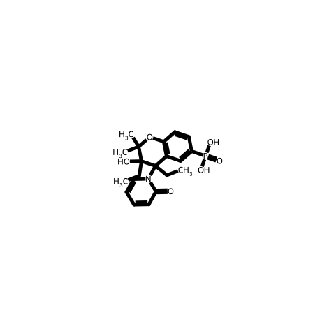 CCC1(n2ccccc2=O)c2cc(P(=O)(O)O)ccc2OC(C)(C)C1(O)CC